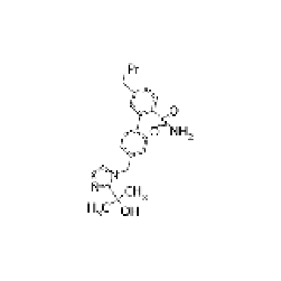 CC(C)Cc1ccc(S(N)(=O)=O)c(-c2ccc(Cn3ccnc3C(C)(C)O)cc2)c1